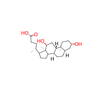 C[C@H](CCC(=O)O)C1CCC2[C@@H]3CC[C@@H]4C[C@H](O)CC[C@]4(C)[C@H]3C[C@H](O)[C@]12C